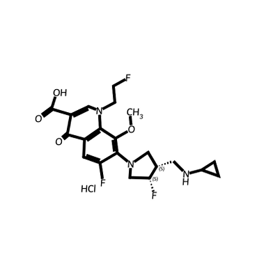 COc1c(N2C[C@H](CNC3CC3)[C@H](F)C2)c(F)cc2c(=O)c(C(=O)O)cn(CCF)c12.Cl